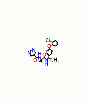 CC(NC(=O)C1(NC(=O)c2cncnc2)CC1)c1ccc(Oc2ccccc2Cl)cc1